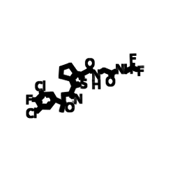 CC1(c2cc(Cl)c(F)c(Cl)c2)CC(c2sc(C(=O)NCC(=O)NCC(F)F)c3c2CCC3)=NO1